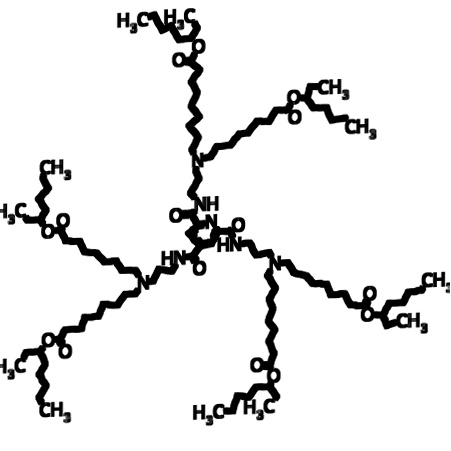 CCCCCC(CC)OC(=O)CCCCCCCCN(CCCCCCCCC(=O)OC(CC)CCCCC)CCCNC(=O)c1cc(C(=O)NCCCN(CCCCCCCCC(=O)OC(CC)CCCCC)CCCCCCCCC(=O)OC(CC)CCCCC)nc(C(=O)NCCCN(CCCCCCCCC(=O)OC(CC)CCCCC)CCCCCCCCC(=O)OC(CC)CCCCC)c1